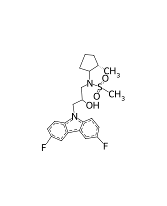 C[C@H]1CCCC1N(CC(O)Cn1c2ccc(F)cc2c2cc(F)ccc21)S(C)(=O)=O